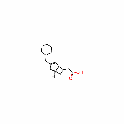 O=C(O)CC1C[C@H]2CC(CC3CCCCC3)=CC12